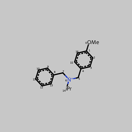 COc1ccc(C[N+](Cc2ccccc2)C(C)C)cc1